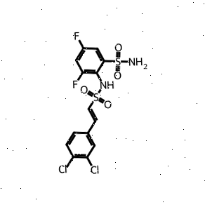 NS(=O)(=O)c1cc(F)cc(F)c1NS(=O)(=O)C=Cc1ccc(Cl)c(Cl)c1